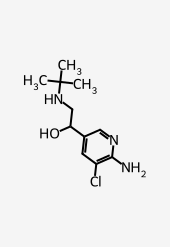 CC(C)(C)NCC(O)c1cnc(N)c(Cl)c1